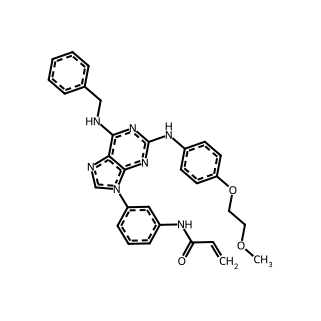 C=CC(=O)Nc1cccc(-n2cnc3c(NCc4ccccc4)nc(Nc4ccc(OCCOC)cc4)nc32)c1